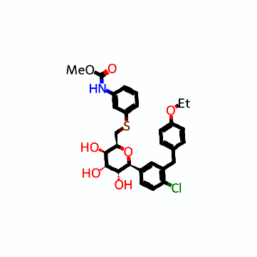 CCOc1ccc(Cc2cc([C@@H]3O[C@H](CSc4cccc(NC(=O)OC)c4)[C@H](O)[C@@H](O)[C@H]3O)ccc2Cl)cc1